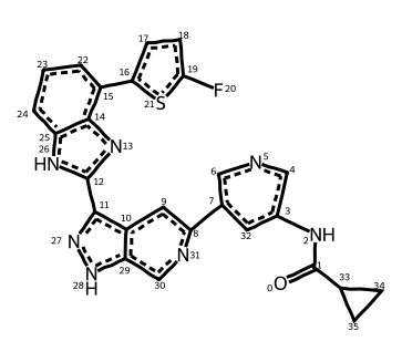 O=C(Nc1cncc(-c2cc3c(-c4nc5c(-c6ccc(F)s6)cccc5[nH]4)n[nH]c3cn2)c1)C1CC1